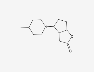 CC1CCN(C2CCC3OC(=O)CC32)CC1